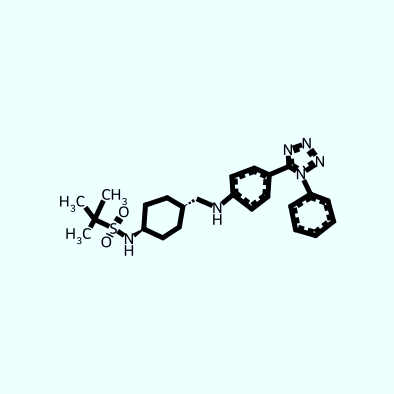 CC(C)(C)S(=O)(=O)N[C@H]1CC[C@H](CNc2ccc(-c3nnnn3-c3ccccc3)cc2)CC1